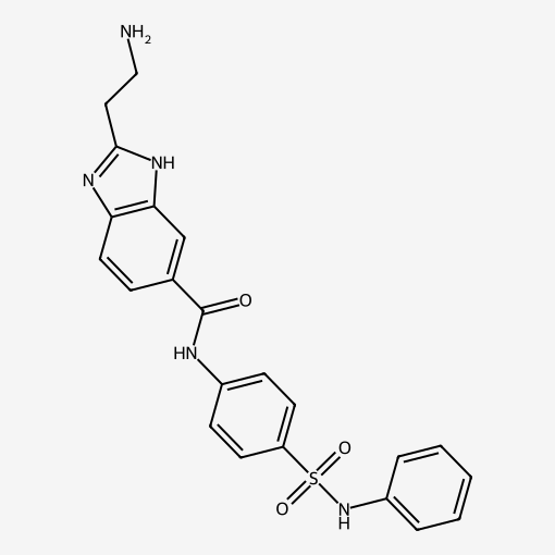 NCCc1nc2ccc(C(=O)Nc3ccc(S(=O)(=O)Nc4ccccc4)cc3)cc2[nH]1